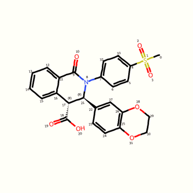 CS(=O)(=O)c1ccc(N2C(=O)c3ccccc3[C@@H](C(=O)O)[C@@H]2c2ccc3c(c2)OCCO3)cc1